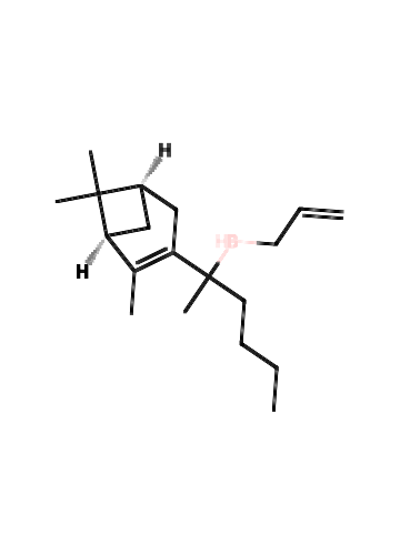 C=CCBC(C)(CCCC)C1=C(C)[C@@H]2C[C@H](C1)C2(C)C